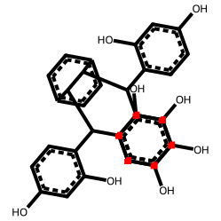 Oc1ccc(C(c2ccc(O)cc2O)C2c3ccc(cc3)C2C(c2ccc(O)cc2O)c2ccc(O)cc2O)c(O)c1